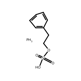 O=S(=O)(O)OCCc1ccccc1.P